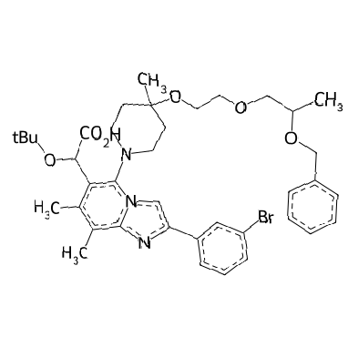 Cc1c(C(OC(C)(C)C)C(=O)O)c(N2CCC(C)(OCCOCC(C)OCc3ccccc3)CC2)n2cc(-c3cccc(Br)c3)nc2c1C